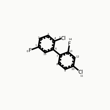 Fc1c[c]c(Cl)c(-c2ccc(Cl)cc2F)c1